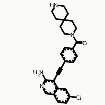 Nc1ncc2ccc(Cl)cc2c1C#Cc1ccc(C(=O)N2CCC3(CCNCC3)CC2)cc1